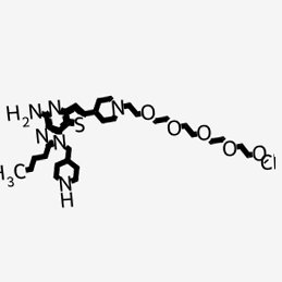 CCCCc1nc2c(N)nc3cc(C4CCN(CCOCCOCCOCCOCCOC)CC4)sc3c2n1CC1CCNCC1